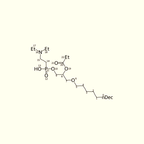 CCCCCCCCCCCCCCCOCC(COP(=O)(O)CCN(CC)CC)OC(=O)CC